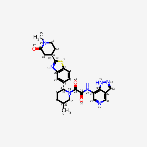 C[C@H]1CC[C@H](c2ccc3sc([C@@H]4CCN(C)C(=O)C4)nc3c2)N(C(=O)C(=O)Nc2cncc3cn[nH]c23)C1